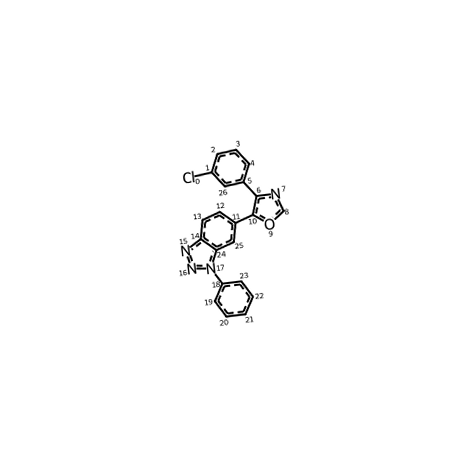 Clc1cccc(-c2ncoc2-c2ccc3nnn(-c4ccccc4)c3c2)c1